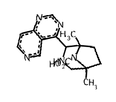 CC12CCC(C)(C(c3ncnc4ccncc34)NC1)N2C(=O)O